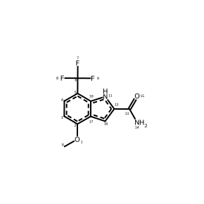 COc1ccc(C(F)(F)F)c2[nH]c(C(N)=O)cc12